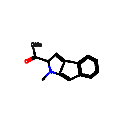 COC(=O)C1C=C2C(=Cc3ccccc32)N1C